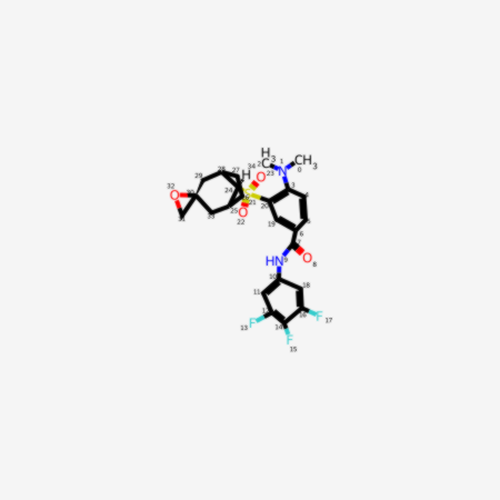 CN(C)c1ccc(C(=O)Nc2cc(F)c(F)c(F)c2)cc1S(=O)(=O)[C@H]1C2CCC1C[C@]1(CO1)C2